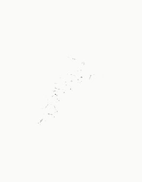 C=C(C)[C@@H]1CC[C@]2(C=O)CC[C@]3(C)[C@H](CC[C@@H]4[C@@]5(C)CCN(c6ccc(C#N)cn6)C(C)(C)[C@@H]5CC[C@]43C)[C@@H]12